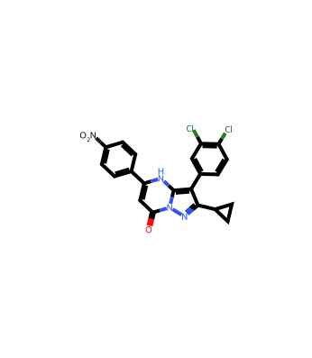 O=c1cc(-c2ccc([N+](=O)[O-])cc2)[nH]c2c(-c3ccc(Cl)c(Cl)c3)c(C3CC3)nn12